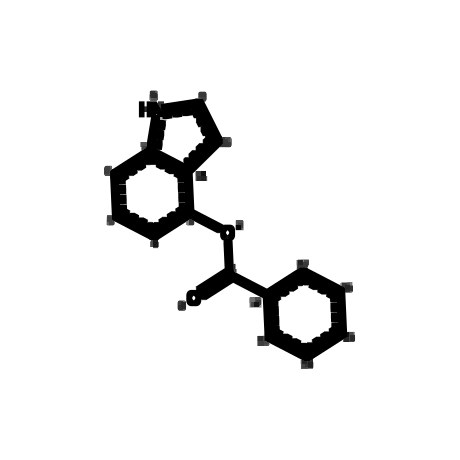 O=C(Oc1cccc2[nH]ccc12)c1ccccc1